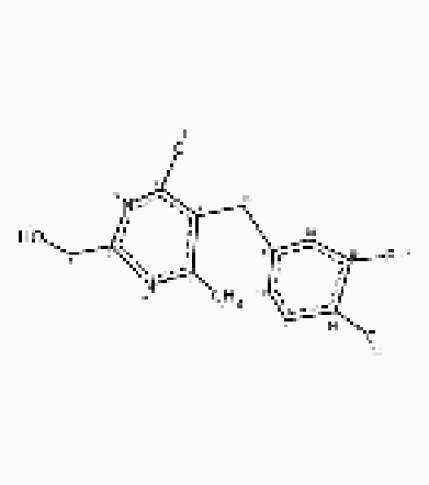 Cc1nc(CO)nc(Cl)c1Cc1ccc(Cl)c(F)c1